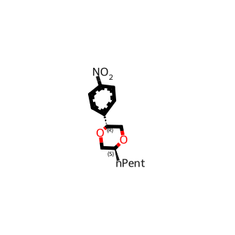 CCCCC[C@H]1CO[C@H](c2ccc([N+](=O)[O-])cc2)CO1